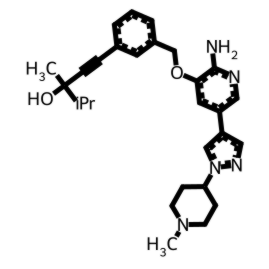 CC(C)C(C)(O)C#Cc1cccc(COc2cc(-c3cnn(C4CCN(C)CC4)c3)cnc2N)c1